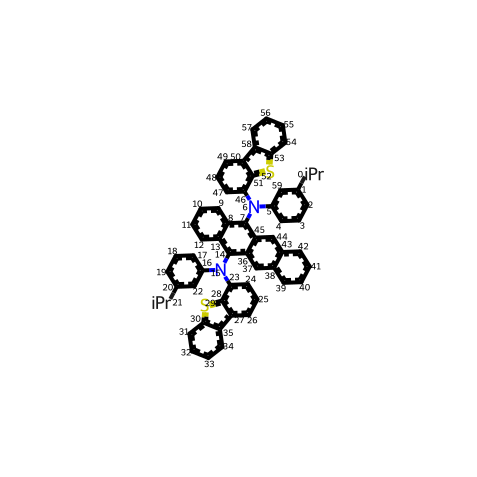 CC(C)c1cccc(N(c2c3ccccc3c(N(c3cccc(C(C)C)c3)c3cccc4c3sc3ccccc34)c3cc4ccccc4cc23)c2cccc3c2sc2ccccc23)c1